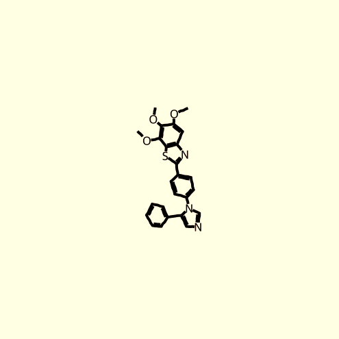 COc1cc2nc(-c3ccc(-n4cncc4-c4ccccc4)cc3)sc2c(OC)c1OC